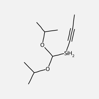 CC#C[SiH2]C(OC(C)C)OC(C)C